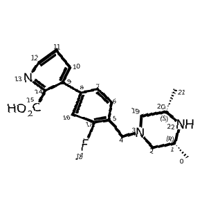 C[C@@H]1CN(Cc2ccc(-c3cccnc3C(=O)O)cc2F)C[C@H](C)N1